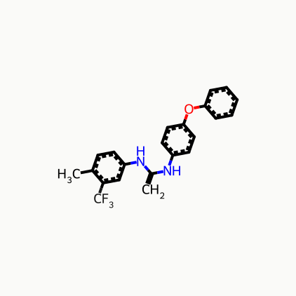 C=C(Nc1ccc(Oc2ccccc2)cc1)Nc1ccc(C)c(C(F)(F)F)c1